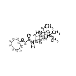 CCC(C)(C)OC(C)(CC)NC12CCC(NC(=O)COC3CCCCCCCC3)(C1)C2